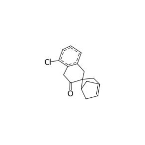 O=C1Cc2c(Cl)cccc2CC12CC1=CCC2C1